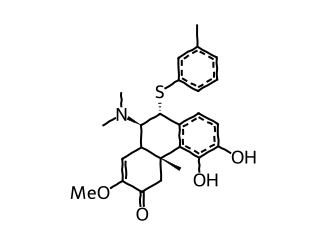 COC1=CC2[C@@H](N(C)C)[C@H](Sc3cccc(C)c3)c3ccc(O)c(O)c3[C@]2(C)CC1=O